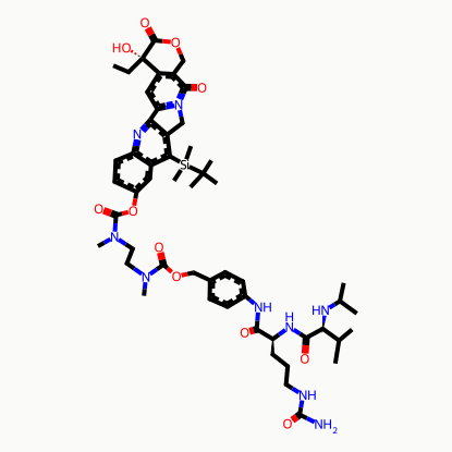 CC[C@@]1(O)C(=O)OCc2c1cc1n(c2=O)Cc2c-1nc1ccc(OC(=O)N(C)CCN(C)C(=O)OCc3ccc(NC(=O)[C@H](CCCNC(N)=O)NC(=O)[C@@H](NC(C)C)C(C)C)cc3)cc1c2[Si](C)(C)C(C)(C)C